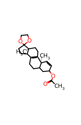 CC(=O)OC1C=C[C@]2(C)C3=C(CCC2C1)C1CCC2(OCCO2)[C@@]1(C)CC3